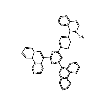 CN1C=Cc2ccccc2C1C1=CC=C(c2nc(C3=CC4C=CC=CC4c4ccccc43)cc(-c3cc4ccccc4c4ccccc34)n2)CC1